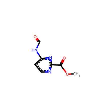 COC(=O)c1nccc(NC=O)n1